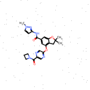 Cn1ccc(NC(=O)c2cc(Oc3cnc(C(=O)N4CCC4)cn3)c3c(c2)OC(C)(C)C3)n1